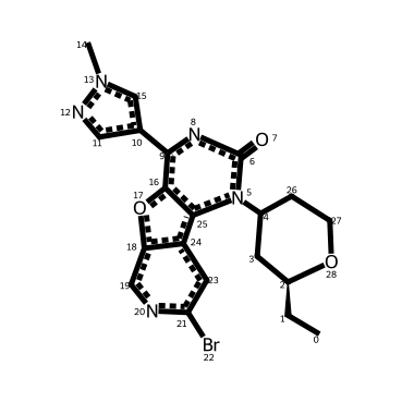 CC[C@H]1CC(n2c(=O)nc(-c3cnn(C)c3)c3oc4cnc(Br)cc4c32)CCO1